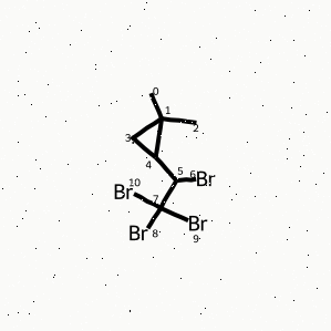 CC1(C)[CH]C1C(Br)C(Br)(Br)Br